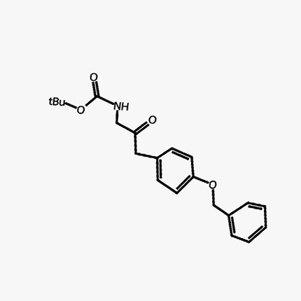 CC(C)(C)OC(=O)NCC(=O)Cc1ccc(OCc2ccccc2)cc1